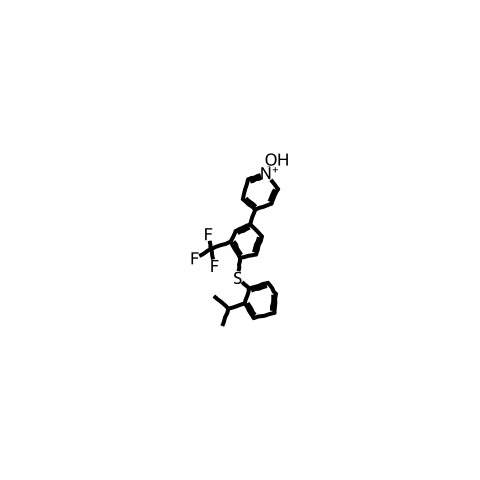 CC(C)c1ccccc1Sc1ccc(-c2cc[n+](O)cc2)cc1C(F)(F)F